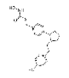 O=C(C=Cc1ccc(C2CCCN2CCc2ccc(O)cc2)cc1)NO